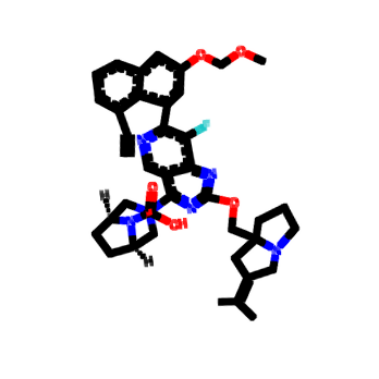 C#Cc1cccc2cc(OCOC)cc(-c3ncc4c(N5C[C@H]6CC[C@@H](C5)N6C(=O)O)nc(OCC56CCCN5CC(=C(C)C)C6)nc4c3F)c12